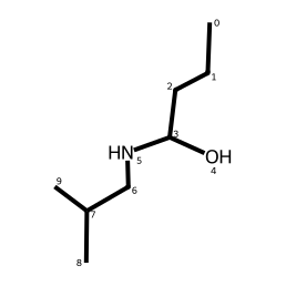 CCCC(O)NCC(C)C